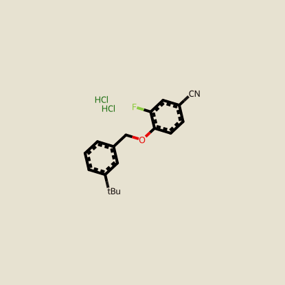 CC(C)(C)c1cccc(COc2ccc(C#N)cc2F)c1.Cl.Cl